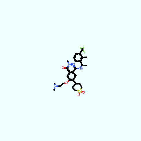 Cc1c([C@@H](C)Nc2nn(C)c(=O)c3cc(OCCN(C)C)c(C4CCS(=O)(=O)CC4)cc23)cccc1C(F)(F)F